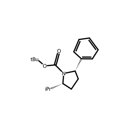 CC(C)[C@H]1CC[C@@H](c2ccccc2)N1C(=O)OC(C)(C)C